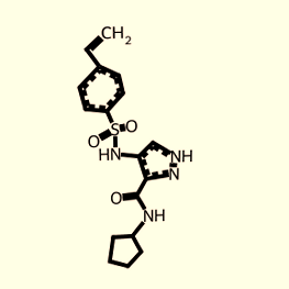 C=Cc1ccc(S(=O)(=O)Nc2c[nH]nc2C(=O)NC2CCCC2)cc1